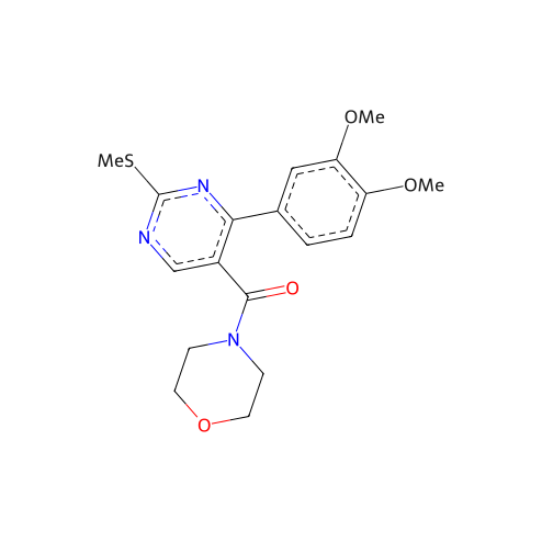 COc1ccc(-c2nc(SC)ncc2C(=O)N2CCOCC2)cc1OC